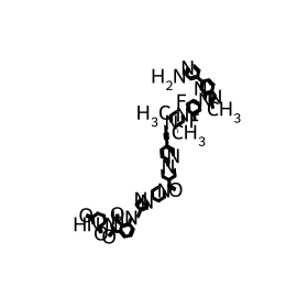 Cc1nc2ccc(-c3ccnc(N)c3)nc2n1-c1cc(F)c(N2C[C@@H](C)N(CC#Cc3ccc(N4CCC(C(=O)N5CCC(n6cc(CNc7cccc8c7C(=O)N(C7CCC(=O)NC7=O)C8=O)cn6)CC5)CC4)nc3)[C@@H](C)C2)c(F)c1